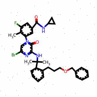 Cc1c(F)cc(C(=O)NC2CC2)cc1-n1cc(Br)nc(NC(C)(C)c2ccccc2CCCOCc2ccccc2)c1=O